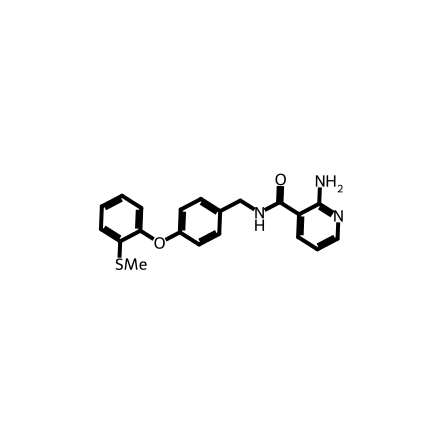 CSc1ccccc1Oc1ccc(CNC(=O)c2cccnc2N)cc1